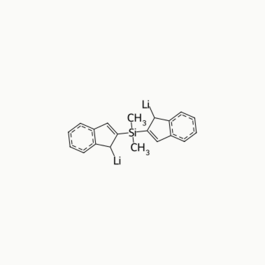 [Li][CH]1C([Si](C)(C)C2=Cc3ccccc3[CH]2[Li])=Cc2ccccc21